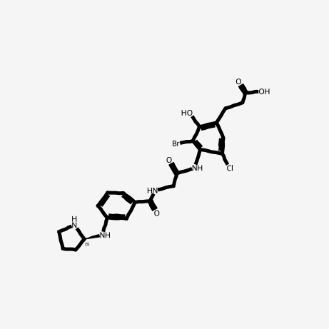 O=C(O)CCc1cc(Cl)c(NC(=O)CNC(=O)c2cccc(N[C@H]3CCCN3)c2)c(Br)c1O